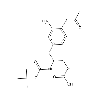 CC(=O)Oc1ccc(CC(CC(C)C(=O)O)NC(=O)OC(C)(C)C)cc1N